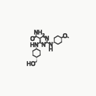 CO[C@H]1CC[C@H](Nc2ncc(C(N)=O)c(N[C@H]3CC[C@@H](CO)CC3)n2)CC1